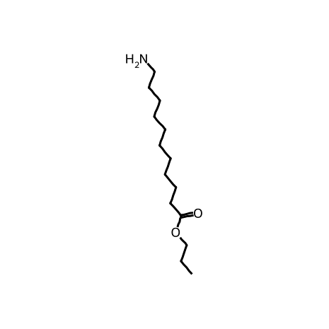 CCCOC(=O)CCCCCCCCCCN